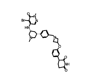 CN1C[C@H](Nc2cnn(C)c(=O)c2Br)C[C@H](c2ccc(CN3CC(Oc4cccc(C5CCC(=O)NC5=O)c4)C3)cc2)C1